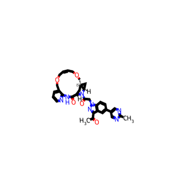 CC(=O)c1nn(CC(=O)N2[C@H]3C[C@@]4(COCC=CCOCc5cccnc5NC3=O)C[C@@H]24)c2ccc(-c3cnc(C)nc3)cc12